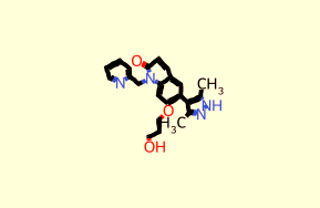 Cc1n[nH]c(C)c1-c1cc2ccc(=O)n(Cc3ccccn3)c2cc1OCCCO